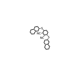 N#Cc1c(Sc2ccc3ccccc3c2)ccc(Sc2ccc3ccccc3c2)c1C#N